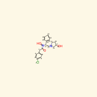 O=C(Cc1ccc(Cl)cc1)N(O)[C@H](CN1CCC(O)C1)c1ccccc1